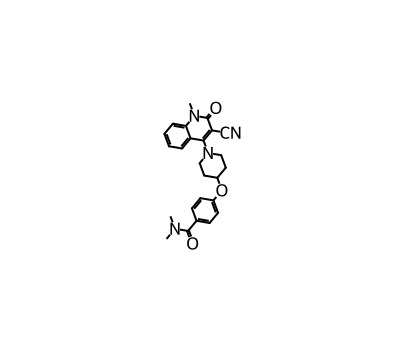 CN(C)C(=O)c1ccc(OC2CCN(c3c(C#N)c(=O)n(C)c4ccccc34)CC2)cc1